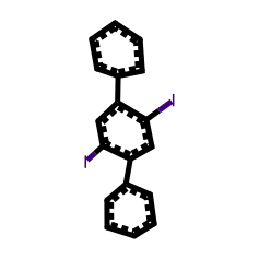 Ic1cc(-c2ccccc2)c(I)cc1-c1ccccc1